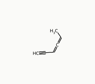 C#CC=C=CC